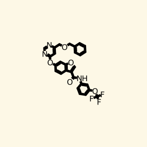 O=C(Nc1cccc(OC(F)(F)F)c1)c1coc2cc(Oc3cc(COCc4ccccc4)ncn3)ccc12